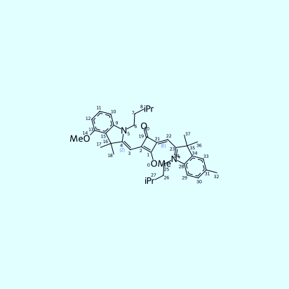 COC1=C(/C=C2\N(CCC(C)C)c3cccc(OC)c3C2(C)C)C(=O)/C1=C/C1=[N+](CCC(C)C)c2ccc(C)cc2C1(C)C